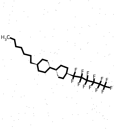 CCCCCCC[C@H]1CC[C@H]([C@H]2CC[C@H](C(F)(F)C(F)(F)C(F)(F)C(F)(F)C(F)(F)C(F)(F)F)CC2)CC1